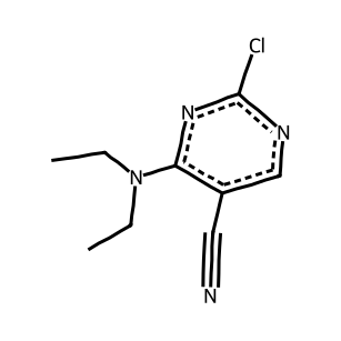 CCN(CC)c1nc(Cl)ncc1C#N